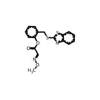 CON=CC(=O)Oc1ccccc1CSc1nc2ccccc2s1